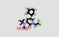 CC(C)(C)N(C(=O)O)[C@H]1C[C@@H](c2cccc(F)c2F)CN(C(F)C(F)F)C1=O